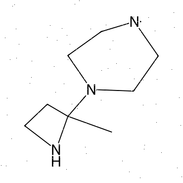 CC1(N2CC[N]CC2)CCN1